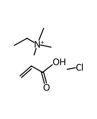 C=CC(=O)O.CC[N+](C)(C)C.CCl